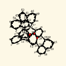 c1ccc2c(-n3c4ccccc4c4cc(-c5cccc6cccc(-c7ccc8c(c7)c7ccccc7n8-c7cccc8ccccc78)c56)ccc43)cccc2c1